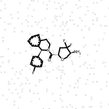 N[C@H]1CO[C@H](C(=O)N2CCc3ccccc3[C@@H]2c2ccc(F)cc2)CC1(F)F